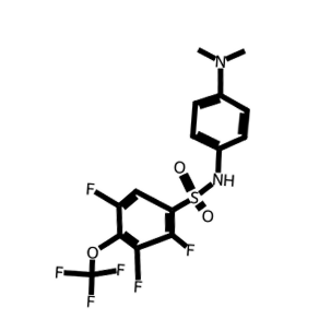 CN(C)c1ccc(NS(=O)(=O)c2cc(F)c(OC(F)(F)F)c(F)c2F)cc1